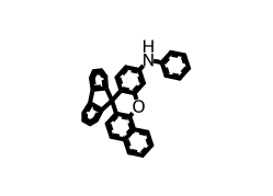 c1ccc(Nc2ccc3c(c2)Oc2c(ccc4ccccc24)C32c3ccccc3-c3ccccc32)cc1